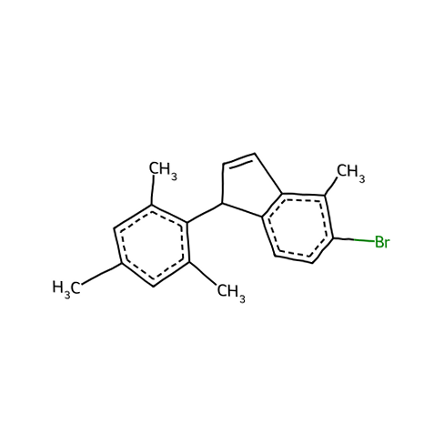 Cc1cc(C)c(C2C=Cc3c2ccc(Br)c3C)c(C)c1